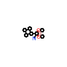 N#Cc1c(-c2ccc3c(c2)-c2ccccc2-c2ccccc2-c2ccccc2-3)cc2c3c1Oc1ccccc1B3c1ccccc1O2